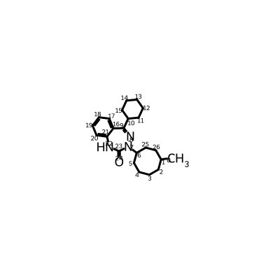 CC1CCCCC(N2N=C(C3CCCCC3)c3ccccc3NC2=O)CC1